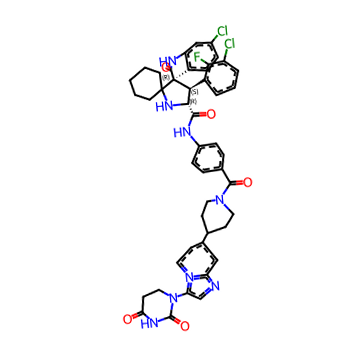 O=C1CCN(c2cnc3cc(C4CCN(C(=O)c5ccc(NC(=O)[C@@H]6NC7(CCCCC7)[C@@]7(C(=O)Nc8cc(Cl)ccc87)[C@H]6c6cccc(Cl)c6F)cc5)CC4)ccn23)C(=O)N1